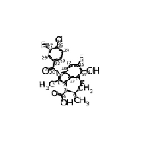 Cc1c(C(C(=O)O)C(C)C)c2c(F)c(O)c(F)cc2n1C(=O)c1ccc(Cl)c(F)c1